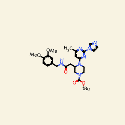 COc1ccc(CNC(=O)CC2CN(C(=O)OC(C)(C)C)CCN2c2cc(C)nc(-n3ccnc3)n2)cc1OC